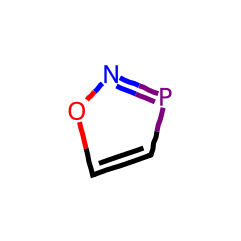 c1cpno1